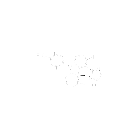 C[C@]1(c2cccc(F)c2-n2nccn2)[C@H](Oc2cnc(C(F)(F)F)cn2)CCCN1C=O